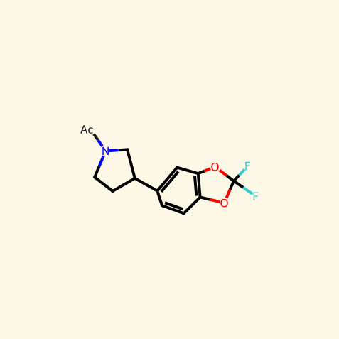 CC(=O)N1CCC(c2ccc3c(c2)OC(F)(F)O3)C1